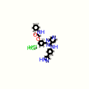 Cl.Cl.O=C(COc1cccc(-c2nc(Nc3ccc(-c4cn[nH]c4)cc3)c3ccncc3n2)c1)NC1CCCCC1